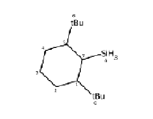 CC(C)(C)C1CCCC(C(C)(C)C)C1[SiH3]